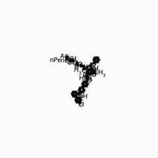 CCCCCC(NC(=O)COCC(=O)OCCN(C)CC[C@H](CSc1ccccc1)Nc1ccc(S(=O)(=O)NC(=O)c2ccc(N3CCC([C@@H](O)c4ccccc4-c4ccc(Cl)cc4)CC3)cc2)cc1S(C)(=O)=O)C(C)=O